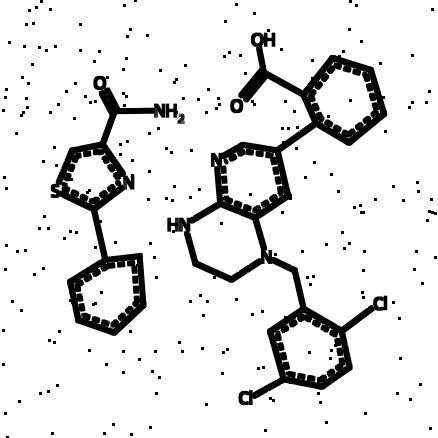 NC(=O)c1csc(-c2ccccc2)n1.O=C(O)c1ccccc1-c1cnc2c(c1)N(Cc1cc(Cl)ccc1Cl)CCN2